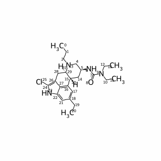 CCCN1C[C@@H](NC(=O)N(CC)CC)C[C@@H]2c3cc(CC)cc4[nH]c(Cl)c(c34)C[C@H]21